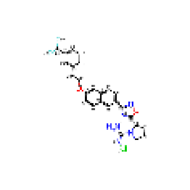 N/C(=N/Cl)N1CCC[C@H]1c1nc(-c2ccc3cc(OCCc4cccc(C(F)F)c4)ccc3c2)no1